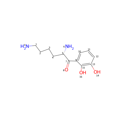 NCCCC[C@H](N)C(=O)c1cccc(O)c1O